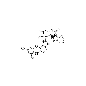 [C-]#[N+]c1cc(Cl)cc(Oc2c(Cl)ccc3c2nnn3Cc2nn(C(=O)N(C)CCN(C)C(=O)OC(C)(C)C)c3ncccc23)c1